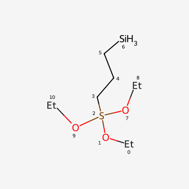 CCOS(CCC[SiH3])(OCC)OCC